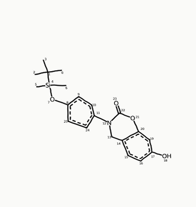 CC(C)(C)[Si](C)(C)Oc1ccc(N2Cc3ccc(O)cc3OC2=O)cc1